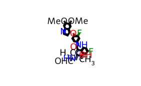 COc1cc2nccc(Oc3ccc(NC(=O)/C(=C(C)/C(=C\NC=O)C(C)O)c4ccc(F)cc4)cc3F)c2cc1OC